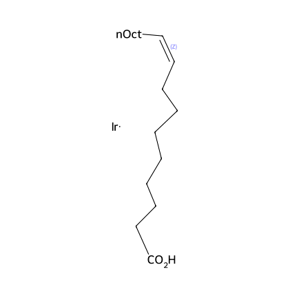 CCCCCCCC/C=C\CCCCCCCC(=O)O.[Ir]